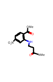 CNC(=O)CCNc1cc([N+](=O)[O-])ccc1C(=O)OC